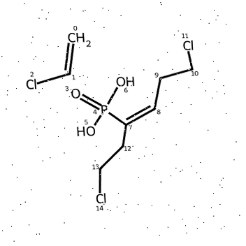 C=CCl.O=P(O)(O)C(=CCCCl)CCCl